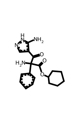 Nc1[nH]ncc1C(=O)C(N)(C(=O)OC1CCCCC1)c1ccccc1